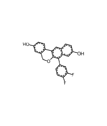 Oc1ccc2c(c1)COc1c-2cc2ccc(O)cc2c1-c1ccc(F)c(F)c1